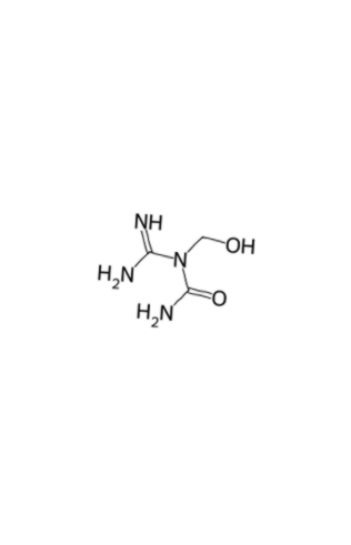 N=C(N)N(CO)C(N)=O